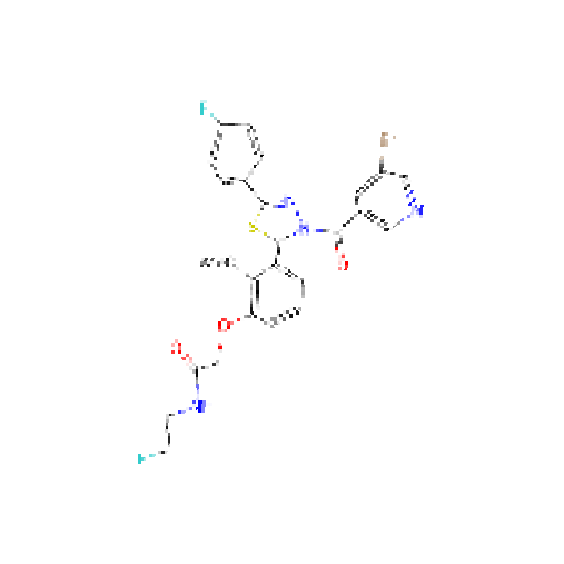 COc1c(OCC(=O)NCCF)cccc1C1SC(c2ccc(F)cc2)=NN1C(=O)c1cncc(Br)c1